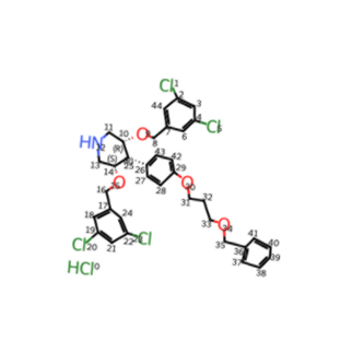 Cl.Clc1cc(Cl)cc(CO[C@H]2CNC[C@@H](OCc3cc(Cl)cc(Cl)c3)[C@H]2c2ccc(OCCCOCc3ccccc3)cc2)c1